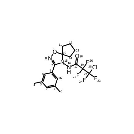 Cc1cc(C)cc(C2=NOC3(CCCC3)N2NC(=O)C(F)(F)C(F)(F)Cl)c1